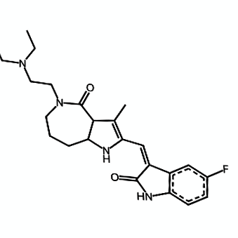 CCN(CC)CCN1CCCC2NC(/C=C3\C(=O)Nc4ccc(F)cc43)=C(C)C2C1=O